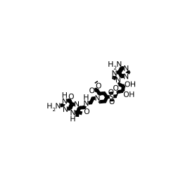 COC(=O)C1CC(S(=O)(=O)C[C@H]2O[C@@H](n3cnc4c(N)ncnc43)C(O)C2O)CCN1CCNC(=O)C1=Nc2c(nc(N)[nH]c2=O)NC1(C)C